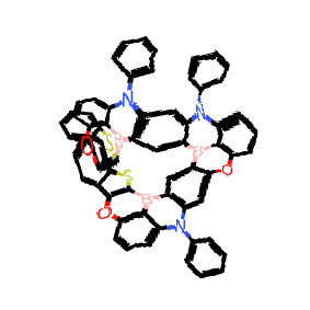 c1ccc(N2c3cc4c(cc3B3c5cc6c(cc5Oc5cccc2c53)N(c2ccccc2)c2cccc3c2B6c2sc5ccccc5c2O3)B2c3sc5ccccc5c3Oc3cccc(c32)N4c2ccccc2)cc1